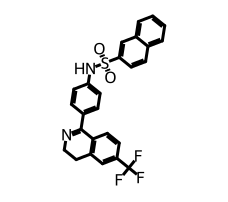 O=S(=O)(Nc1ccc(C2=NCCc3cc(C(F)(F)F)ccc32)cc1)c1ccc2ccccc2c1